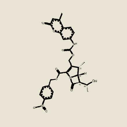 Cc1cc(=O)oc2cc(NC(=O)OCC3=C(C(=O)OCc4ccc([N+](=O)[O-])cc4)N4C(=O)[C@H]([C@@H](C)O)[C@H]4[C@H]3C)ccc12